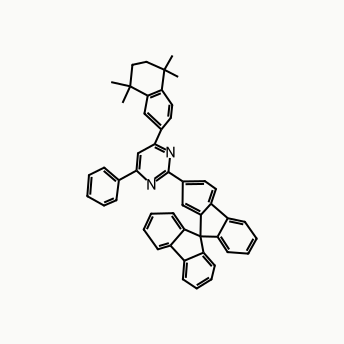 CC1(C)CCC(C)(C)c2cc(-c3cc(-c4ccccc4)nc(-c4ccc5c(c4)C4(c6ccccc6-c6ccccc64)c4ccccc4-5)n3)ccc21